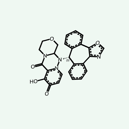 O=C1c2c(O)c(=O)ccn2N([C@H]2c3ccccc3-c3ncoc3-c3ccccc32)C2COCCN12